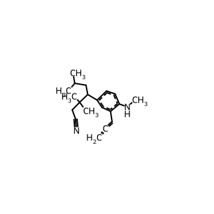 C=C=Cc1cc(C(CC(C)C)C(C)(C)CC#N)ccc1NC